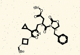 CC(C)(C)C[C@H]1C[C@@H](c2onc(C[C@@H](CC(=O)OC(C)(C)C)C(=O)N3C(=O)OC[C@H]3Cc3ccccc3)c2C2CC2)C1